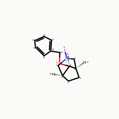 IN1C[C@H]2CC[C@@H](C1)[C@H]2OCc1ccccc1